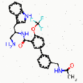 CC(=O)NCc1cccc(-c2ccc(OC(F)(F)F)c(C(=O)NC(CN)Cc3c[nH]c4ccccc34)c2)c1